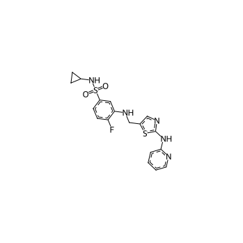 O=S(=O)(NC1CC1)c1ccc(F)c(NCc2cnc(Nc3ccccn3)s2)c1